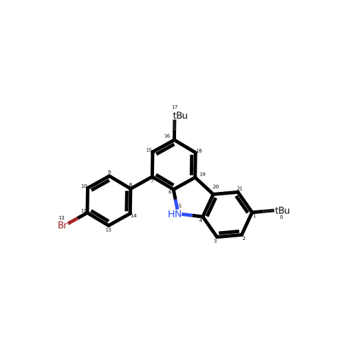 CC(C)(C)c1ccc2[nH]c3c(-c4ccc(Br)cc4)cc(C(C)(C)C)cc3c2c1